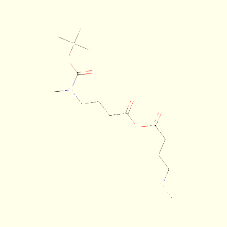 CNCCCC(=O)OC(=O)CCCN(C)C(=O)OC(C)(C)C